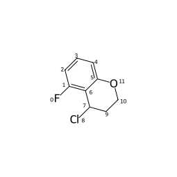 Fc1cccc2c1C(Cl)CCO2